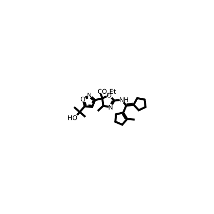 CCOC(=O)C1(c2cc(C(C)(C)O)on2)OC(NC(=C2CCCC2)C2=C(C)CCC2)=NC1C